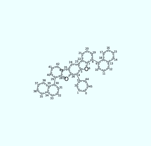 c1ccc(-c2c3oc4c(-c5cccc6ccccc56)cccc4c3cc3c2oc2c(-c4cccc5ccccc45)cccc23)cc1